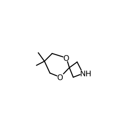 CC1(C)COC2(CNC2)OC1